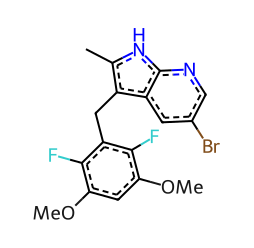 COc1cc(OC)c(F)c(Cc2c(C)[nH]c3ncc(Br)cc23)c1F